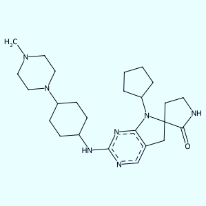 CN1CCN(C2CCC(Nc3ncc4c(n3)N(C3CCCC3)C3(CCNC3=O)C4)CC2)CC1